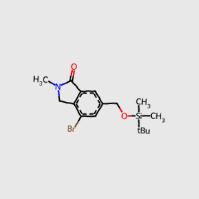 CN1Cc2c(Br)cc(CO[Si](C)(C)C(C)(C)C)cc2C1=O